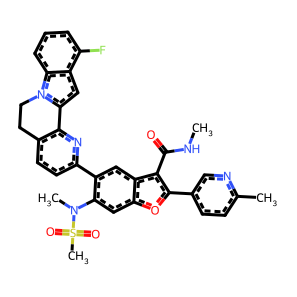 CNC(=O)c1c(-c2ccc(C)nc2)oc2cc(N(C)S(C)(=O)=O)c(-c3ccc4c(n3)-c3cc5c(F)cccc5n3CC4)cc12